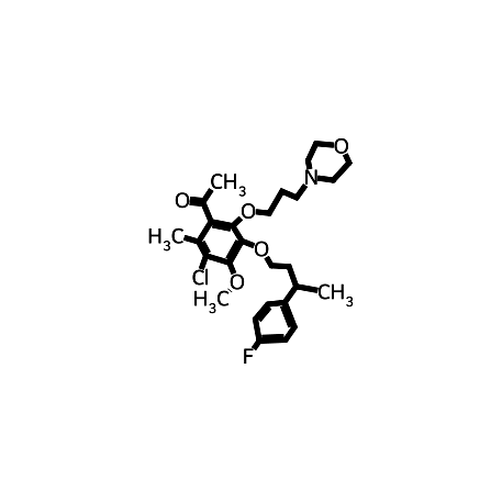 COc1c(Cl)c(C)c(C(C)=O)c(OCCCN2CCOCC2)c1OCCC(C)c1ccc(F)cc1